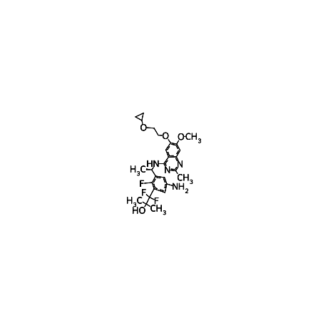 COc1cc2nc(C)nc(N[C@H](C)c3cc(N)cc(C(F)(F)C(C)(C)O)c3F)c2cc1OCCOC1CC1